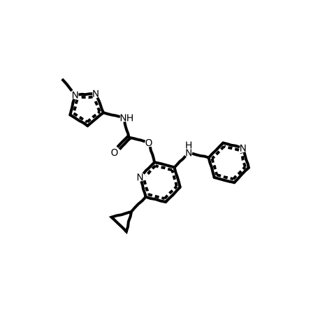 Cn1ccc(NC(=O)Oc2nc(C3CC3)ccc2Nc2cccnc2)n1